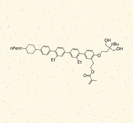 C=C(C)C(=O)OCCc1cc(-c2ccc(-c3ccc(-c4ccc(C5CCC(CCCCC)CC5)cc4)c(CC)c3)cc2CC)ccc1OCCC(CO)(CO)CCCC